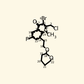 Cn1c(CCl)c(Br)c(=O)c2cc(F)cc(CCOC3CCCCO3)c21